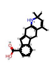 CC1=CC(C)(C)NC2=C1CC1C(=Cc3c(C(=O)O)cccc31)C2